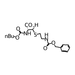 CCCCOC(=O)N[C@@H](CSCCNC(=O)OCc1ccccc1)C(=O)O